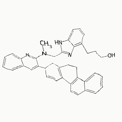 CN(Cc1nc2c(CCCO)cccc2[nH]1)c1nc2ccccc2cc1C1C=CC2=C(CCc3c2ccc2ccccc32)C1